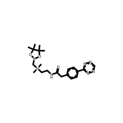 CC1(C)OB(C[N+](C)(C)CCNC(=O)Cc2ccc(-c3nncnn3)cc2)OC1(C)C